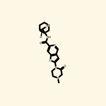 CN1CCN(c2cc3cnc(C(=O)N[C@H]4CN5CCC4CC5)cc3o2)C(=O)C1